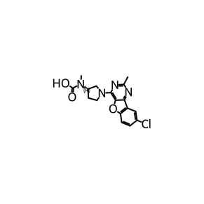 Cc1nc(N2CC[C@@H](N(C)C(=O)O)C2)c2oc3ccc(Cl)cc3c2n1